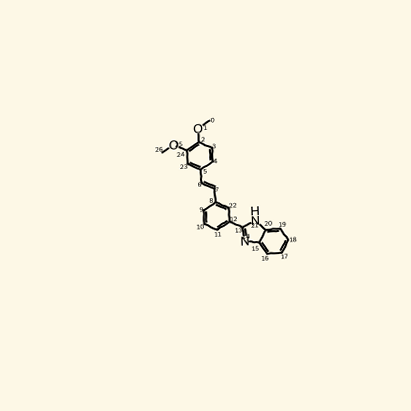 COc1ccc(/C=C/c2cccc(-c3nc4ccccc4[nH]3)c2)cc1OC